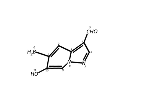 Bc1cc2c(C=O)cnn2cc1O